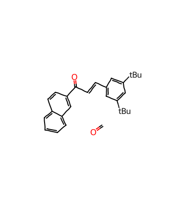 C=O.CC(C)(C)c1cc(C=CC(=O)c2ccc3ccccc3c2)cc(C(C)(C)C)c1